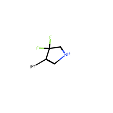 CC(C)C1CNCC1(F)F